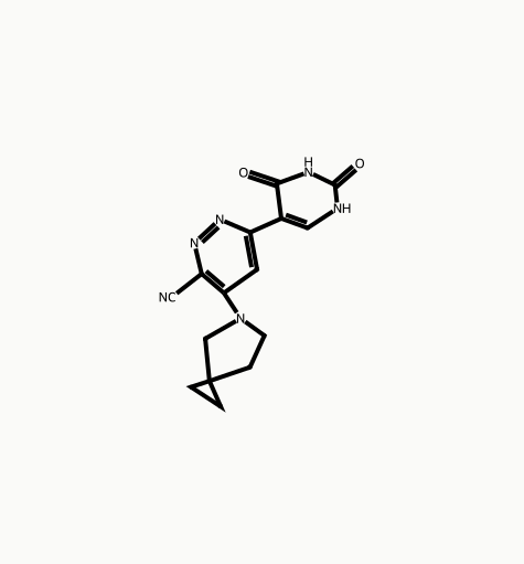 N#Cc1nnc(-c2c[nH]c(=O)[nH]c2=O)cc1N1CCC2(CC2)C1